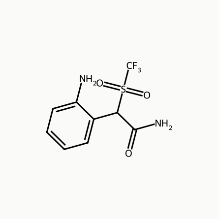 NC(=O)C(c1ccccc1N)S(=O)(=O)C(F)(F)F